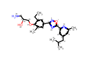 CCc1cc(-c2noc(-c3cc(CC(C)C)cc(C)n3)n2)cc(C)c1OC[C@@H](O)CN